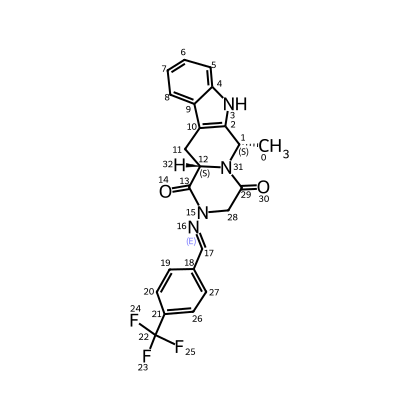 C[C@H]1c2[nH]c3ccccc3c2C[C@H]2C(=O)N(/N=C/c3ccc(C(F)(F)F)cc3)CC(=O)N21